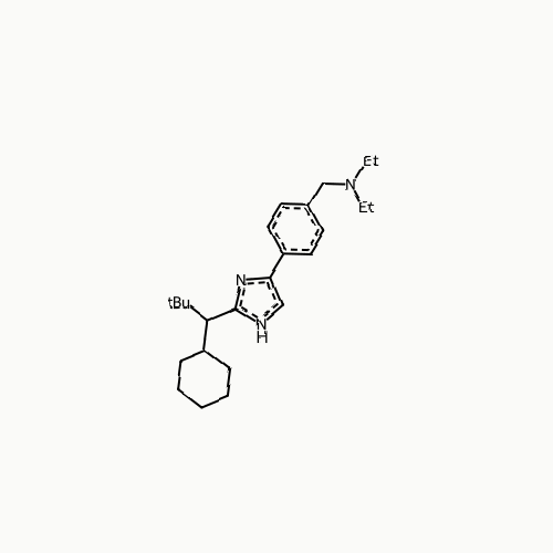 CCN(CC)Cc1ccc(-c2c[nH]c(C(C3CCCCC3)C(C)(C)C)n2)cc1